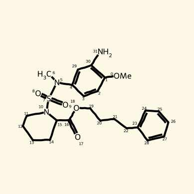 COc1ccc(N(C)S(=O)(=O)N2CCCCC2C(=O)OCCCCc2ccccc2)cc1N